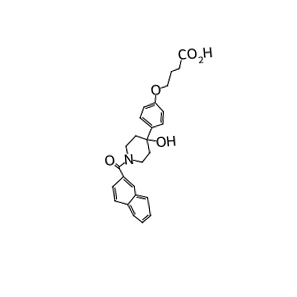 O=C(O)CCCOc1ccc(C2(O)CCN(C(=O)c3ccc4ccccc4c3)CC2)cc1